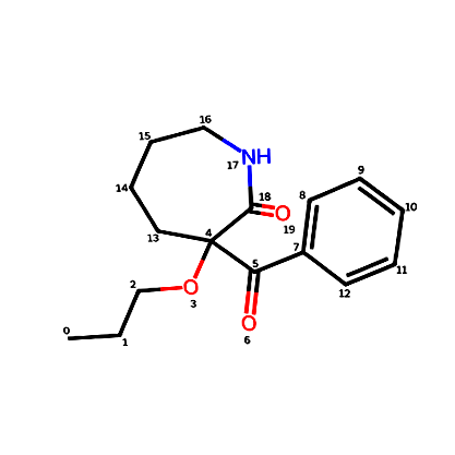 CCCOC1(C(=O)c2ccccc2)CCCCNC1=O